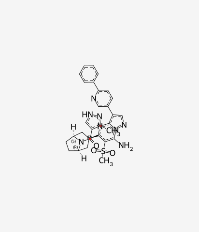 Cc1n[nH]cc1C(=O)N1[C@@H]2CC[C@H]1C[C@@H](c1nc3c(-c4ccc(-c5ccccc5)nc4)cnn3c(N)c1S(C)(=O)=O)C2